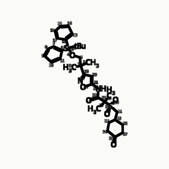 CC(C)(CO[Si](c1ccccc1)(c1ccccc1)C(C)(C)C)c1cc(NC(=O)C(C)(C)S(=O)(=O)CC2CCC(=O)CC2)on1